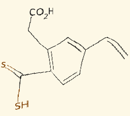 C=Cc1ccc(C(=S)S)c(CC(=O)O)c1